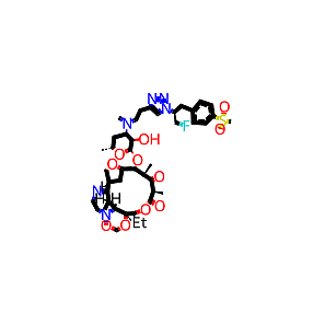 CC[C@H]1OC(=O)[C@H](C)C(=O)[C@H](C)[C@@H](O[C@@H]2O[C@H](C)C[C@H](N(C)CCc3cn([C@H](CF)Cc4ccc(S(C)(=O)=O)cc4)nn3)[C@H]2O)[C@@]2(C)C[C@@H](CO2)C2=NCCN3OCO[C@@]1(C)[C@H]3[C@H]2C